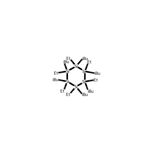 CCC(C)[Si]1(CC)[Si](CC)(C(C)CC)[Si](CC)(C(C)CC)[Si](CC)(C(C)CC)[Si](CC)(C(C)CC)[Si]1(CC)C(C)CC